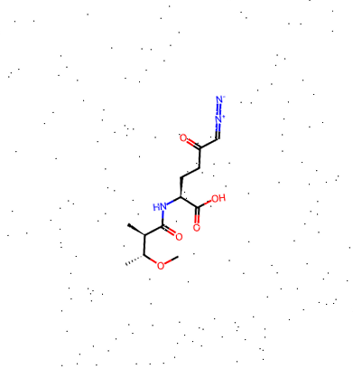 CO[C@H](C)[C@@H](C)C(=O)N[C@@H](CCC(=O)C=[N+]=[N-])C(=O)O